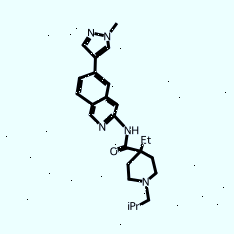 CCC1(C(=O)Nc2cc3cc(-c4cnn(C)c4)ccc3cn2)CCN(CC(C)C)CC1